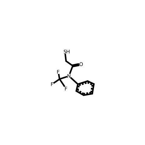 O=C(CS)N(c1ccccc1)C(F)(F)F